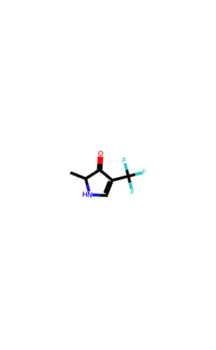 CC1NC=C(C(F)(F)F)C1=O